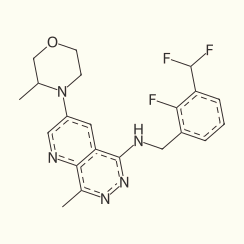 Cc1nnc(NCc2cccc(C(F)F)c2F)c2cc(N3CCOCC3C)cnc12